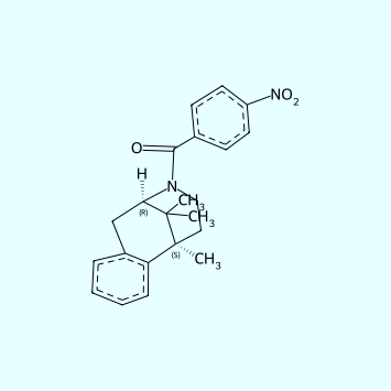 CC1(C)[C@H]2Cc3ccccc3[C@]1(C)CCN2C(=O)c1ccc([N+](=O)[O-])cc1